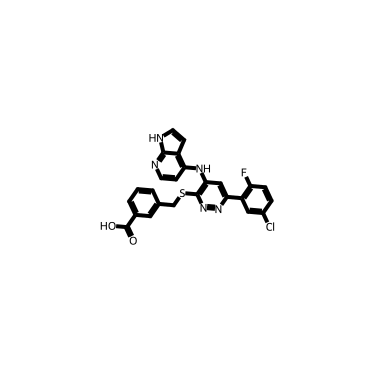 O=C(O)c1cccc(CSc2nnc(-c3cc(Cl)ccc3F)cc2Nc2ccnc3[nH]ccc23)c1